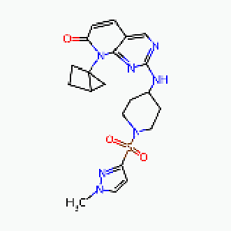 Cn1ccc(S(=O)(=O)N2CCC(Nc3ncc4ccc(=O)n(C56CCC5C6)c4n3)CC2)n1